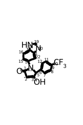 O=C1[C]=C(O)C(c2ccc(C(F)(F)F)cc2)N1c1ccc2[nH]cnc2c1